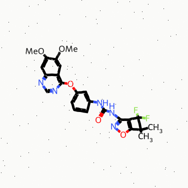 COc1cc2ncnc(Oc3cccc(NC(=O)Nc4noc5c4C(F)(F)C5(C)C)c3)c2cc1OC